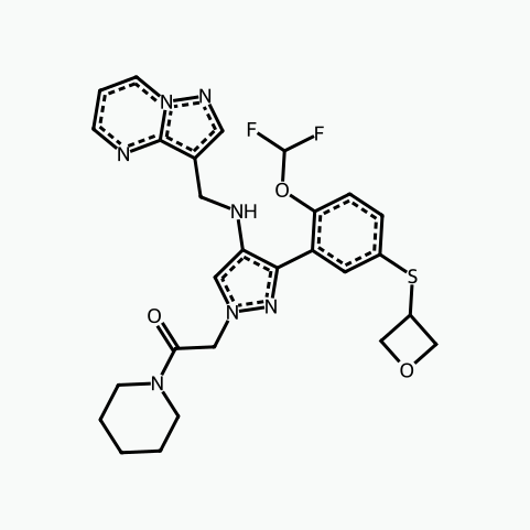 O=C(Cn1cc(NCc2cnn3cccnc23)c(-c2cc(SC3COC3)ccc2OC(F)F)n1)N1CCCCC1